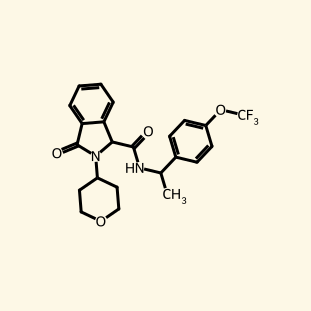 CC(NC(=O)C1c2ccccc2C(=O)N1C1CCOCC1)c1ccc(OC(F)(F)F)cc1